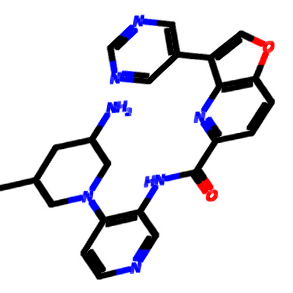 CC1CC(N)CN(c2ccncc2NC(=O)c2ccc3occ(-c4cncnc4)c3n2)C1